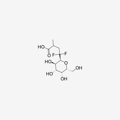 CC(CC(F)(F)[C@H]1O[C@H](CO)[C@H](O)[C@H](O)[C@H]1O)C(=O)O